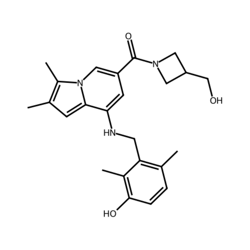 Cc1ccc(O)c(C)c1CNc1cc(C(=O)N2CC(CO)C2)cn2c(C)c(C)cc12